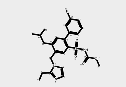 CCc1nccn1Cc1cc(S(=O)(=O)NC(=O)OC)c(-c2cccc(F)c2)cc1CC(C)C